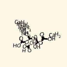 N.N.O=C(O)O.O=C(O)OC(=O)O.O=C(O)OC(=O)O.[CaH2].[CaH2].[MgH2].[MgH2]